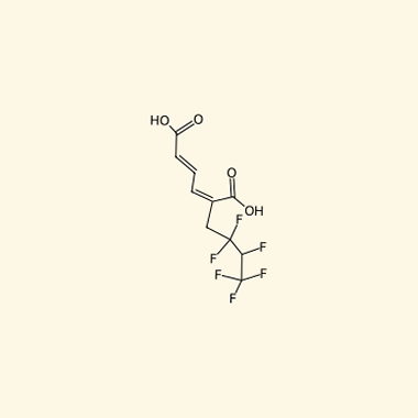 O=C(O)C=CC=C(CC(F)(F)C(F)C(F)(F)F)C(=O)O